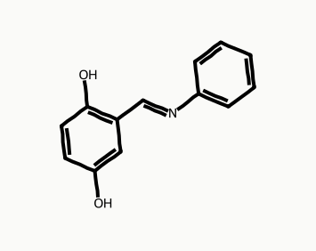 Oc1ccc(O)c(C=Nc2ccccc2)c1